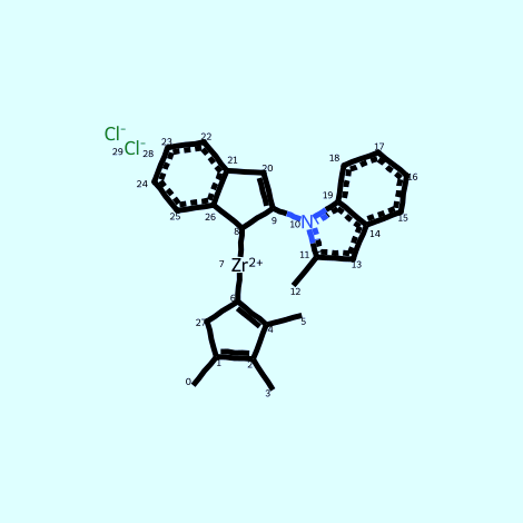 CC1=C(C)C(C)=[C]([Zr+2][CH]2C(n3c(C)cc4ccccc43)=Cc3ccccc32)C1.[Cl-].[Cl-]